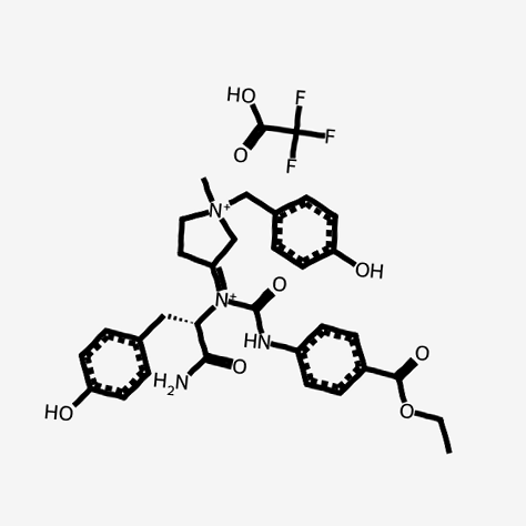 CCOC(=O)c1ccc(NC(=O)/[N+](=C2/CC[N+](C)(Cc3ccc(O)cc3)C2)[C@@H](Cc2ccc(O)cc2)C(N)=O)cc1.O=C(O)C(F)(F)F